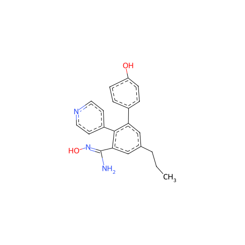 CCCc1cc(C(N)=NO)c(-c2ccncc2)c(-c2ccc(O)cc2)c1